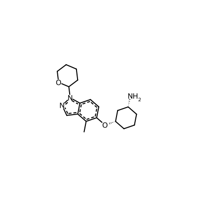 Cc1c(O[C@H]2CCC[C@@H](N)C2)ccc2c1cnn2C1CCCCO1